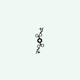 CN(C)CCOC(=O)c1ccc(C(=O)OCCN(C)C)cc1